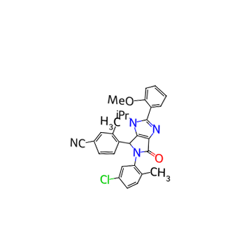 COc1ccccc1-c1nc2c(n1C(C)C)C(c1ccc(C#N)cc1C)N(c1cc(Cl)ccc1C)C2=O